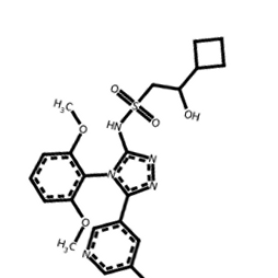 COc1cccc(OC)c1-n1c(NS(=O)(=O)CC(O)C2CCC2)nnc1-c1cncc(C)c1